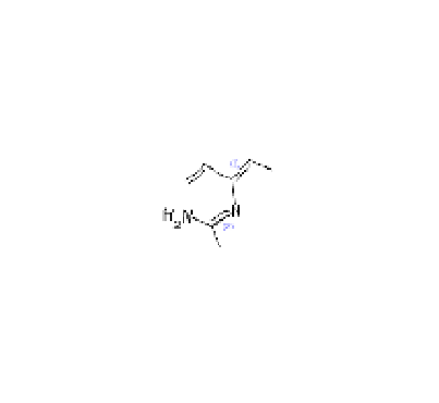 C=CC(=C/C)/N=C(/C)N